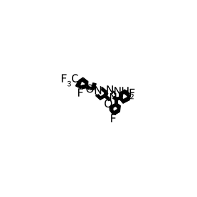 C=C(Oc1ccc(C(F)(F)F)cc1F)N1CCc2c(nc(N)n(C(c3ccc(F)cc3)c3ccc(F)cc3)c2=O)C1